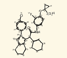 O=C(Nc1ccc(OC2(C(=O)O)CC2)c(F)c1)C(c1c2c(nn1-c1ccc(Cl)cc1)CCCC2)C1CCCCC1